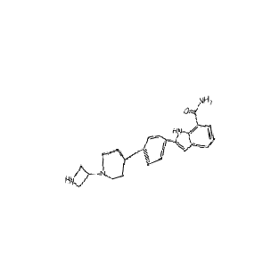 NC(=O)c1cccc2cc(-c3ccc(C4CCN(C5CNC5)CC4)cc3)[nH]c12